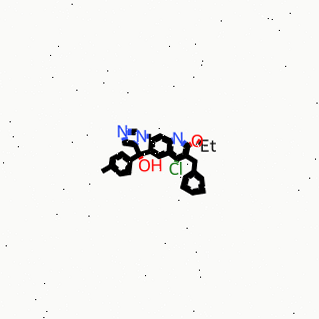 CCOc1nc2ccc(C(O)(c3ccc(C)cc3)c3cncn3C)cc2c(Cl)c1Cc1ccccc1